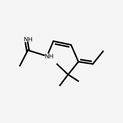 C/C=C(\C=C/NC(C)=N)C(C)(C)C